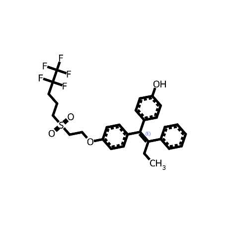 CC/C(=C(/c1ccc(O)cc1)c1ccc(OCCS(=O)(=O)CCCC(F)(F)C(F)(F)F)cc1)c1ccccc1